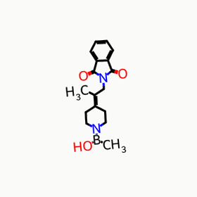 CB(O)N1CCC(=C(C)CN2C(=O)c3ccccc3C2=O)CC1